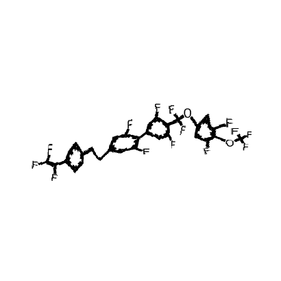 FC(F)=C(F)c1ccc(CCc2cc(F)c(-c3cc(F)c(C(F)(F)Oc4cc(F)c(OC(F)(F)F)c(F)c4)c(F)c3)c(F)c2)cc1